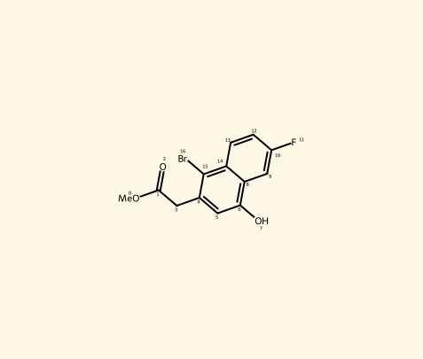 COC(=O)Cc1cc(O)c2cc(F)ccc2c1Br